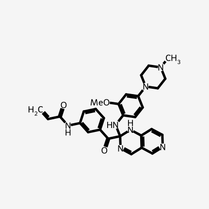 C=CC(=O)Nc1cccc(C(=O)C2(Nc3ccc(N4CCN(C)CC4)cc3OC)N=Cc3cnccc3N2)c1